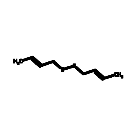 CC=CCSSCC=CC